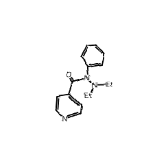 CCN(CC)N(C(=O)c1ccncc1)c1ccccc1